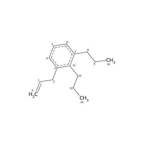 C=CCc1cccc(CCC)c1CCC